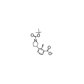 COC(=O)c1cccc(C2CCN(C(=O)OC(C)(C)C)C2)c1F